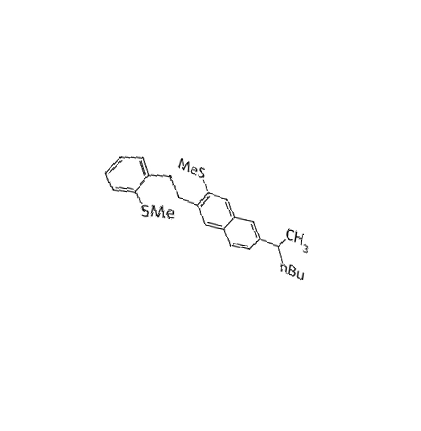 CCCCC(C)c1ccc2cc(CCc3ccccc3SC)c(SC)cc2c1